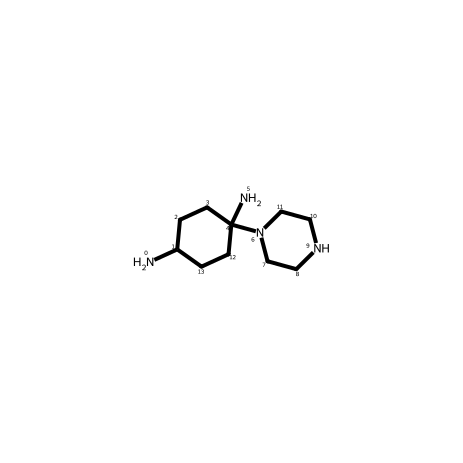 NC1CCC(N)(N2CCNCC2)CC1